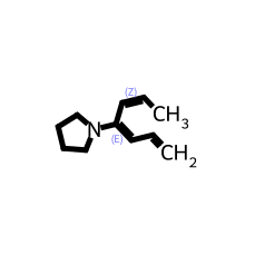 C=C/C=C(\C=C/C)N1CCCC1